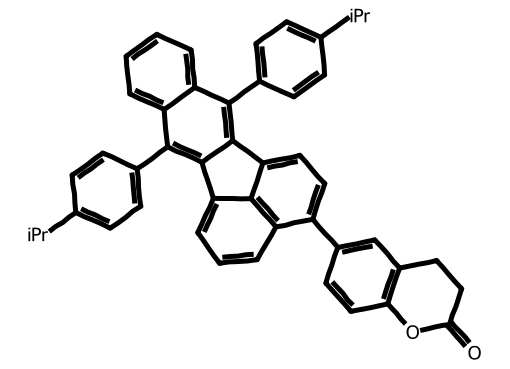 CC(C)c1ccc(-c2c3c(c(-c4ccc(C(C)C)cc4)c4ccccc24)-c2ccc(-c4ccc5c(c4)CCC(=O)O5)c4cccc-3c24)cc1